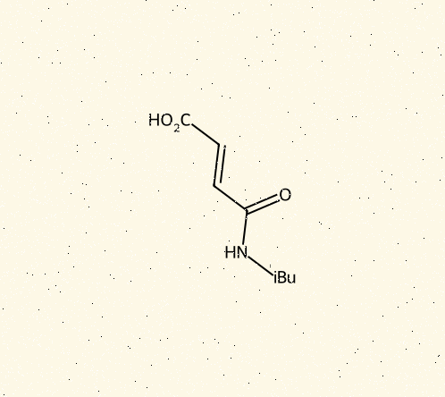 CCC(C)NC(=O)C=CC(=O)O